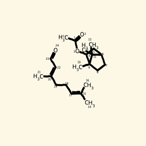 CC(=O)OC1CC2CCC1(C)C2(C)C.CC(C)=CCCC(C)=CC=O